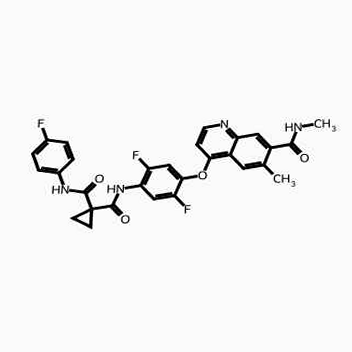 CNC(=O)c1cc2nccc(Oc3cc(F)c(NC(=O)C4(C(=O)Nc5ccc(F)cc5)CC4)cc3F)c2cc1C